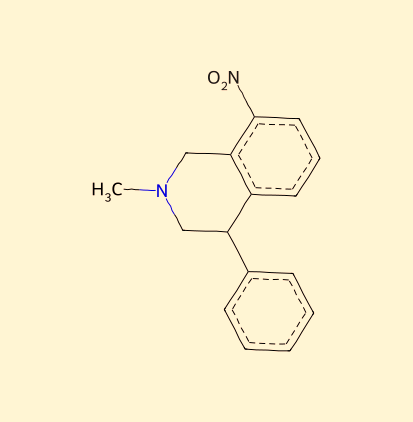 CN1Cc2c(cccc2[N+](=O)[O-])C(c2ccccc2)C1